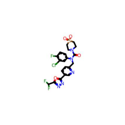 O=C(N1CCS(=O)(=O)CC1)N(Cc1ccc(-c2nnc(C(F)F)o2)cn1)c1ccc(F)c(Cl)c1